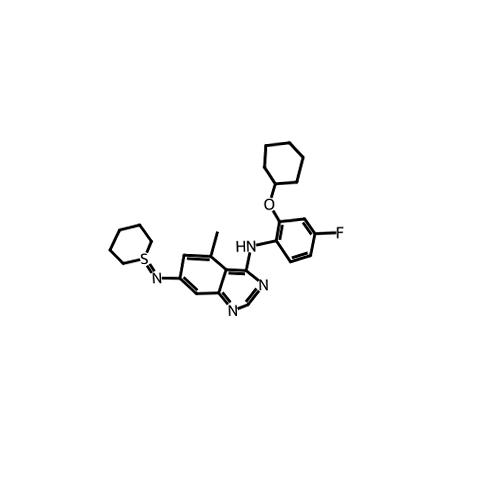 Cc1cc(N=S2CCCCC2)cc2ncnc(Nc3ccc(F)cc3OC3CCCCC3)c12